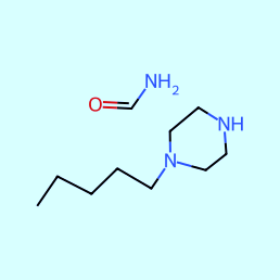 CCCCCN1CCNCC1.NC=O